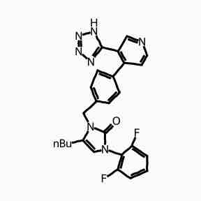 CCCCc1cn(-c2c(F)cccc2F)c(=O)n1Cc1ccc(-c2ccncc2-c2nnn[nH]2)cc1